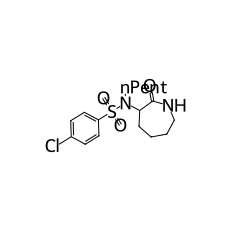 CCCCCN(C1CCCCNC1=O)S(=O)(=O)c1ccc(Cl)cc1